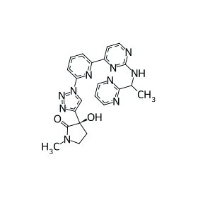 CC(Nc1nccc(-c2cccc(-n3cc([C@]4(O)CCN(C)C4=O)nn3)n2)n1)c1ncccn1